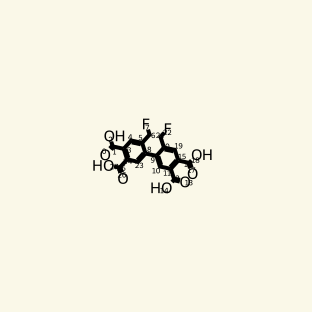 O=C(O)c1cc(CF)c(-c2cc(C(=O)O)c(C(=O)O)cc2CF)cc1C(=O)O